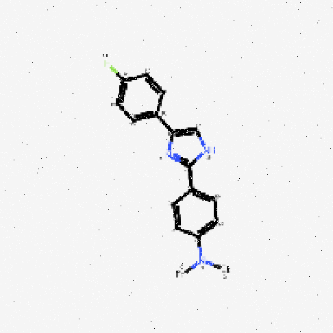 CCN(CC)c1ccc(-c2nc(-c3ccc(F)cc3)c[nH]2)cc1